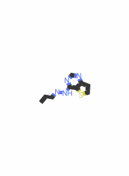 C=CC=NNc1ncnc2ccsc12